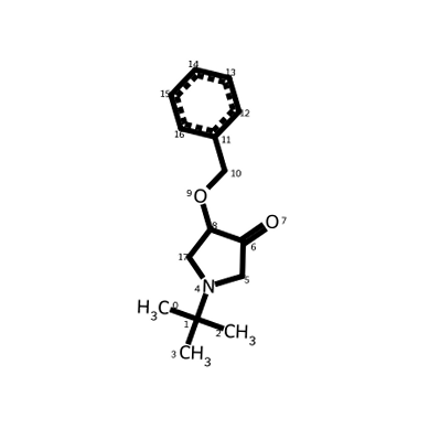 CC(C)(C)N1CC(=O)C(OCc2ccccc2)C1